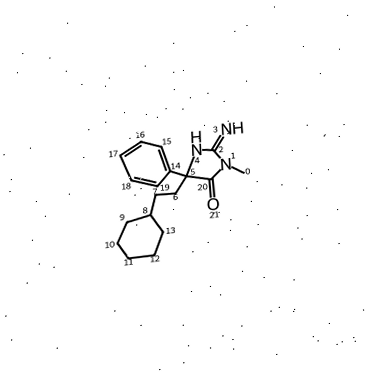 CN1C(=N)NC(CCC2CCCCC2)(c2ccccc2)C1=O